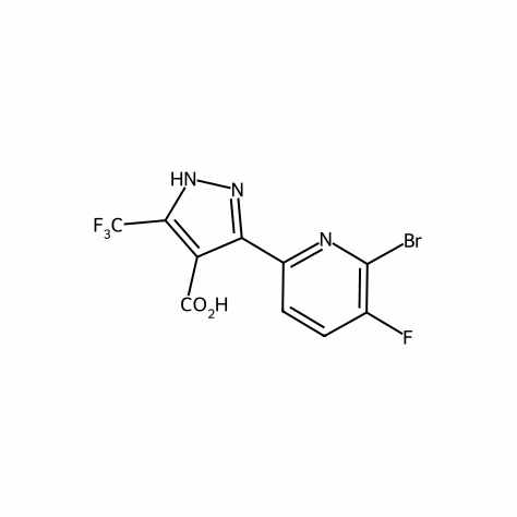 O=C(O)c1c(-c2ccc(F)c(Br)n2)n[nH]c1C(F)(F)F